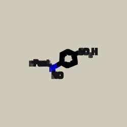 CCCCCN(N=O)c1ccc(S(=O)(=O)O)cc1